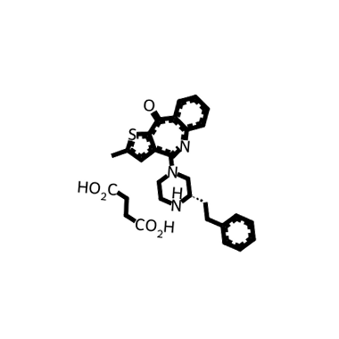 Cc1cc2c(N3CCN[C@@H](CCc4ccccc4)C3)nc3ccccc3c(=O)c2s1.O=C(O)CCC(=O)O